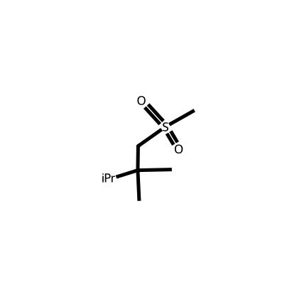 CC(C)C(C)(C)CS(C)(=O)=O